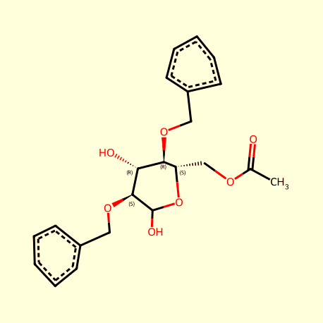 CC(=O)OC[C@@H]1OC(O)[C@@H](OCc2ccccc2)[C@H](O)[C@H]1OCc1ccccc1